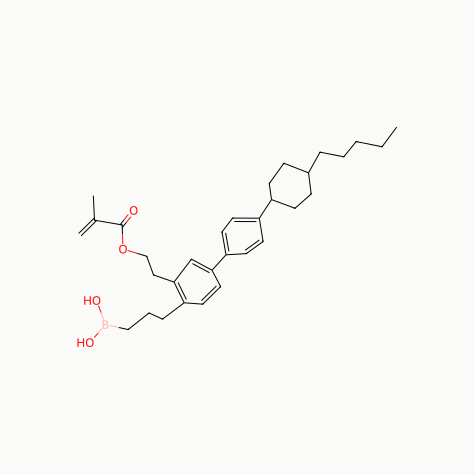 C=C(C)C(=O)OCCc1cc(-c2ccc(C3CCC(CCCCC)CC3)cc2)ccc1CCCB(O)O